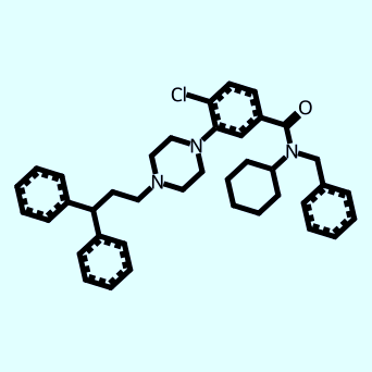 O=C(c1ccc(Cl)c(N2CCN(CCC(c3ccccc3)c3ccccc3)CC2)c1)N(Cc1ccccc1)C1CCCCC1